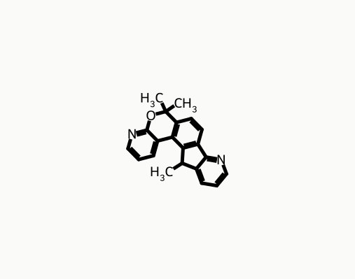 CC1c2cccnc2-c2ccc3c(c21)-c1cccnc1OC3(C)C